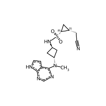 CN(c1ncnc2[nH]ccc12)[C@H]1C[C@H](NS(=O)(=O)[C@@H]2C[C@@H]2CC#N)C1